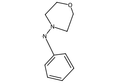 c1ccc([N]N2CCOCC2)cc1